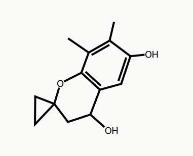 Cc1c(O)cc2c(c1C)OC1(CC1)CC2O